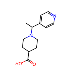 CC(c1ccncc1)N1CCC(C(=O)O)CC1